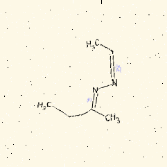 C/C=N\N=C(/C)CC